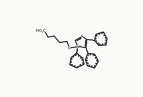 CCOC(=O)CCCCO[N+]1(c2ccccc2)C=NC(c2ccccc2)=C1c1ccccc1